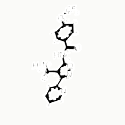 NC(=O)c1c(-c2ccccn2)noc1NC(=O)c1ccc(OC(F)(F)F)cc1